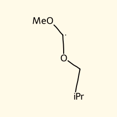 CO[CH]OCC(C)C